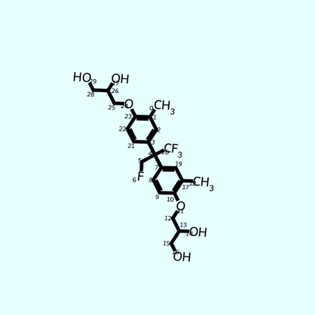 Cc1cc(C(CF)(c2ccc(OCC(O)CO)c(C)c2)C(F)(F)F)ccc1OCC(O)CO